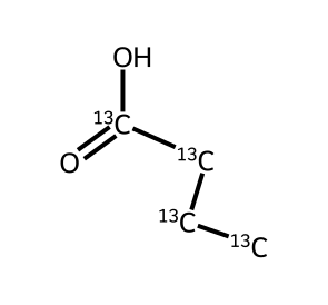 [13CH3][13CH2][13CH2][13C](=O)O